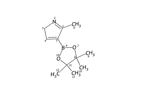 CC1=NCC=C1B1OC(C)(C)C(C)(C)O1